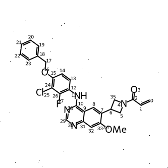 C=CC(=O)N1CC(c2cc3c(Nc4ccc(OCc5ccccc5)c(Cl)c4F)ncnc3cc2OC)C1